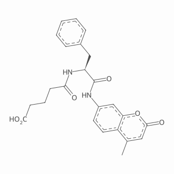 Cc1cc(=O)oc2cc(NC(=O)[C@H](Cc3ccccc3)NC(=O)CCCC(=O)O)ccc12